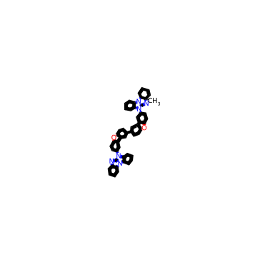 C[C@@]12C=CC=CC1N1C(=N2)N(c2ccc3oc4ccc(-c5ccc6oc7ccc(-n8c9ccccc9n9c%10ccccc%10nc89)cc7c6c5)cc4c3c2)c2ccccc21